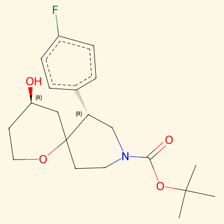 CC(C)(C)OC(=O)N1CCC2(C[C@H](O)CCO2)[C@H](c2ccc(F)cc2)C1